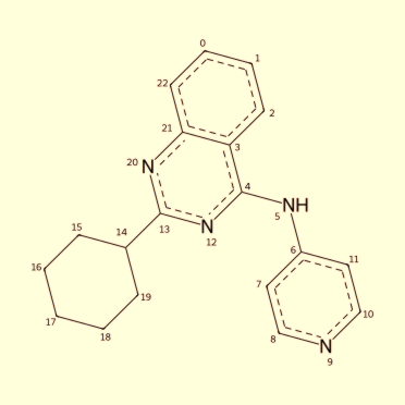 c1ccc2c(Nc3ccncc3)nc(C3CCCCC3)nc2c1